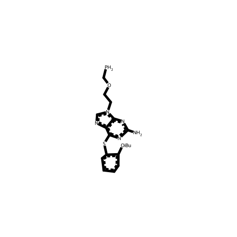 CC(C)COc1ccccc1Sc1nc(N)nc2c1ncn2CCOCP